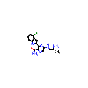 C[C@H](N)CNc1cnc(C(N)=O)c(-c2cc3c(Br)cccc3[nH]2)n1